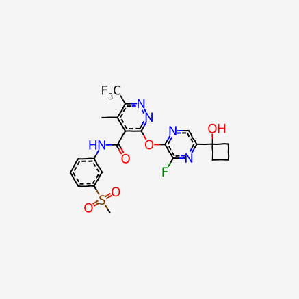 Cc1c(C(F)(F)F)nnc(Oc2ncc(C3(O)CCC3)nc2F)c1C(=O)Nc1cccc(S(C)(=O)=O)c1